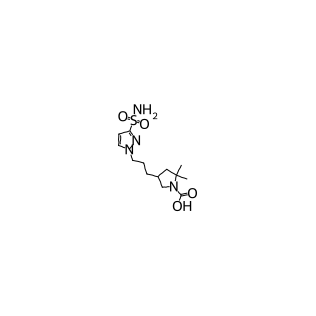 CC1(C)CC(CCCn2ccc(S(N)(=O)=O)n2)CN1C(=O)O